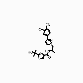 CC(Cn1ccc(-c2ccc(C#N)c(Cl)c2)n1)NC(=O)c1coc(C(C)(C)O)n1